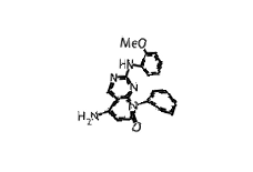 COc1ccccc1Nc1ncc2c(N)cc(=O)n(-c3ccccc3)c2n1